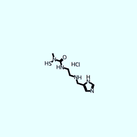 CN(S)C(=O)NCCNCc1cnc[nH]1.Cl